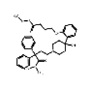 CCOC(=O)CCCOc1ccccc1C1(O)CCN(CCC(C(=O)N(C)C)(c2ccccc2)c2ccccc2)CC1